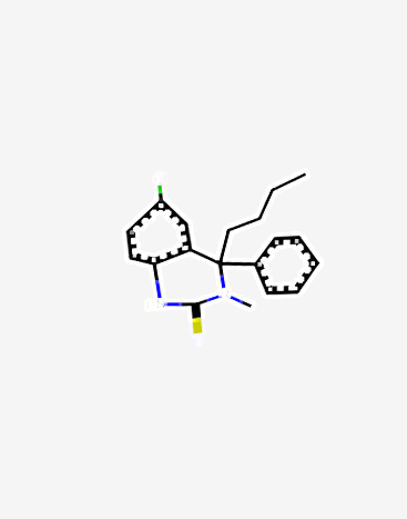 CCCCC1(c2ccccc2)c2cc(Cl)ccc2NC(=S)N1C